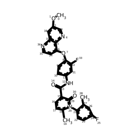 COc1cnc2c(Oc3ccc(NC(=O)c4ccc(C)n(-c5ccc(F)cc5C)c4=O)cc3F)ccnc2c1